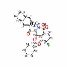 CN1C(C(=O)c2ccc3ccccc3c2)=C(OC(=O)C2CCCCC2)c2cc(F)ccc2S1(=O)=O